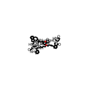 CC(=O)n1c(C(=O)N[C@H]2CCc3cccc4c3N(C2=O)[C@H](C(=O)N[C@@H](CCC(N)=O)C(=O)N[C@H](C(=O)NCCCCCCCC#Cc2cccc3c2CN(C2CCC(=O)NC2=O)C3=O)c2ccccc2)C4)cc2cc(C(F)(F)P(=O)(O)O)ccc21